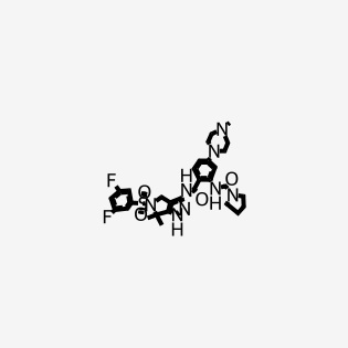 CN1CCN(c2ccc(C(=O)Nc3n[nH]c4c3CN(S(=O)(=O)c3cc(F)cc(F)c3)C4(C)C)c(NC(=O)N3CCCC3)c2)CC1